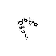 CN(C)CCN1CCN(C(=O)Nc2cc(Oc3ccc(NC(=O)NC(=O)Cc4ccccc4)cc3)ccn2)CC1